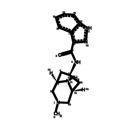 CN1C[C@H]2C[C@@H](NC(=O)c3n[nH]c4ccccc34)C[C@@H](C1)N2C